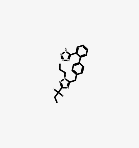 CCCn1nc(C(F)(F)CC)nc1Cc1ccc(-c2ccccc2-c2nnn[nH]2)cc1